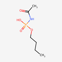 CCCCOP(=O)(O)NC(C)=O